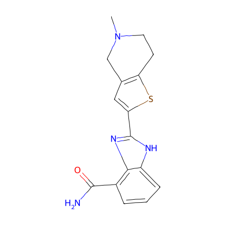 CN1CCc2sc(-c3nc4c(C(N)=O)cccc4[nH]3)cc2C1